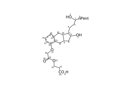 CCCCCC(O)CCC1C(O)CC2Cc3c(cccc3OCC(=O)OCCC(=O)O)CC21